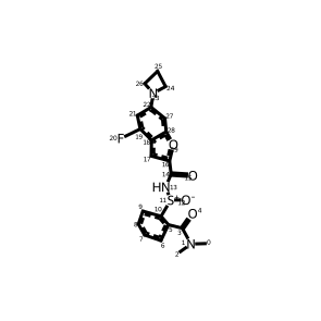 CN(C)C(=O)c1ccccc1[S+]([O-])NC(=O)c1cc2c(F)cc(N3CCC3)cc2o1